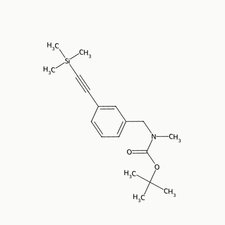 CN(Cc1cccc(C#C[Si](C)(C)C)c1)C(=O)OC(C)(C)C